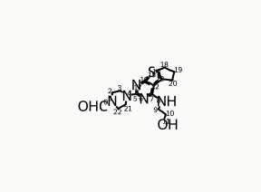 O=CN1CCN(c2nc(NCCO)c3c4c(sc3n2)CCC4)CC1